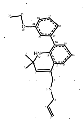 C=CCSCC1=CC(C)(C)Nc2c1cccc2-c1cccc(OCC)c1